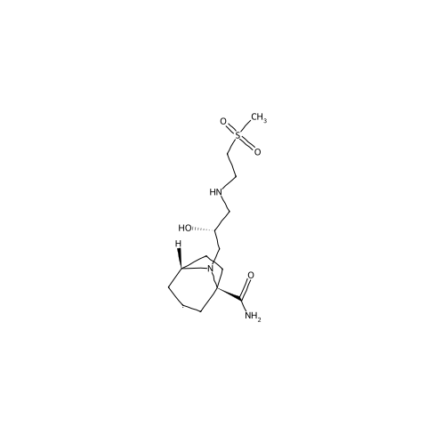 CS(=O)(=O)CCNC[C@@H](O)CN1[C@@H]2C[CH]C[C@@]1(C(N)=O)CC2